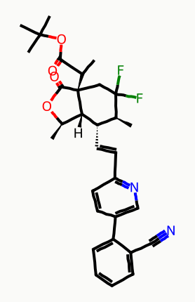 CC(C(=O)OC(C)(C)C)[C@@]12CC(F)(F)[C@@H](C)[C@H](C=Cc3ccc(-c4ccccc4C#N)cn3)[C@@H]1[C@@H](C)OC2=O